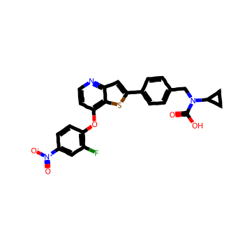 O=C(O)N(Cc1ccc(-c2cc3nccc(Oc4ccc([N+](=O)[O-])cc4F)c3s2)cc1)C1CC1